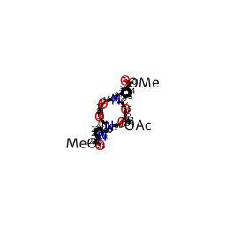 COC(=O)c1cccc(CN2CCOCCOCCN(Cc3cccc(C(=O)OC)n3)CCO[C@H](COC(C)=O)COCC2)c1